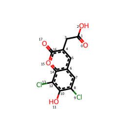 O=C(O)Cc1cc2cc(Cl)c(O)c(Cl)c2oc1=O